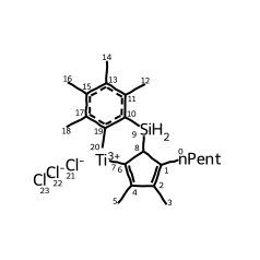 CCCCCC1=C(C)C(C)=[C]([Ti+3])C1[SiH2]c1c(C)c(C)c(C)c(C)c1C.[Cl-].[Cl-].[Cl-]